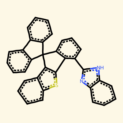 c1ccc2c(c1)-c1ccccc1C21c2cccc(-c3nc4ccccc4[nH]3)c2-c2sc3ccccc3c21